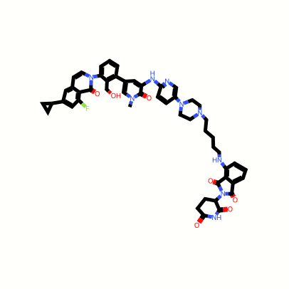 Cn1cc(-c2cccc(-n3ccc4cc(C5CC5)cc(F)c4c3=O)c2CO)cc(Nc2ccc(N3CCN(CCCCCNc4cccc5c4C(=O)N(C4CCC(=O)NC4=O)C5=O)CC3)cn2)c1=O